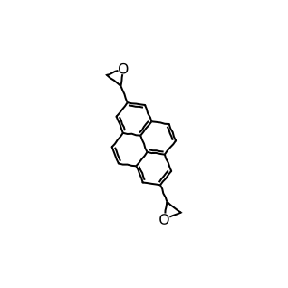 c1cc2cc(C3CO3)cc3ccc4cc(C5CO5)cc1c4c23